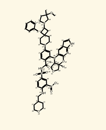 COC1(C)C[C@@H](c2ccccc2C)N(C2CC3(CCN(c4ccc(C(=O)NS(=O)(=O)c5ccc(NCC6CCOCC6)c([N+](=O)[O-])c5)c(N5c6cc7cc[nH]c7nc6O[C@@H]6COC[C@H]65)c4)CC3)C2)C1